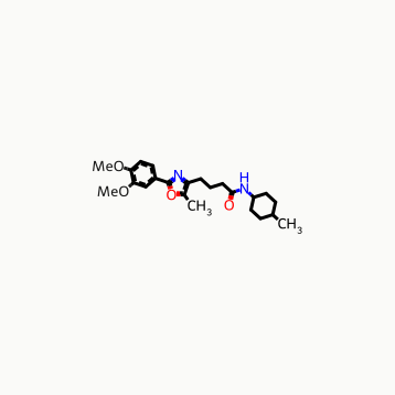 COc1ccc(-c2nc(CCCC(=O)NC3CCC(C)CC3)c(C)o2)cc1OC